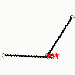 CCCCCCCCCCCCCCCCCCCCCCCCCCCCCCCCCC(OCCO)OC(CCCCCCCCCCCCCCCCCCCCCCCCCCCCCCCCC)OCCO